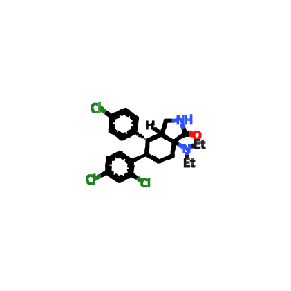 CCN(CC)[C@@]12CC[C@@H](c3ccc(Cl)cc3Cl)[C@H](c3ccc(Cl)cc3)[C@@H]1CNC2=O